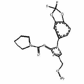 CC(C)OCc1cn(-c2ccc3c(c2)OC(F)(F)O3)/c(=N/C(=O)N2CCCC2)s1